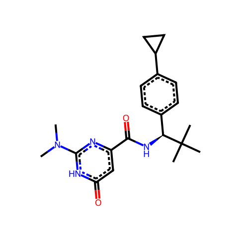 CN(C)c1nc(C(=O)N[C@@H](c2ccc(C3CC3)cc2)C(C)(C)C)cc(=O)[nH]1